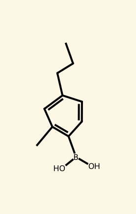 CCCc1ccc(B(O)O)c(C)c1